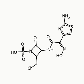 Nc1nc(C(=NO)C(=O)NC2C(=O)N(S(=O)(=O)O)C2CCl)cs1